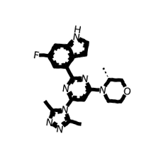 Cc1nnc(C)n1-c1cc(N2CCOC[C@H]2C)nc(-c2cc(F)cc3[nH]ccc23)n1